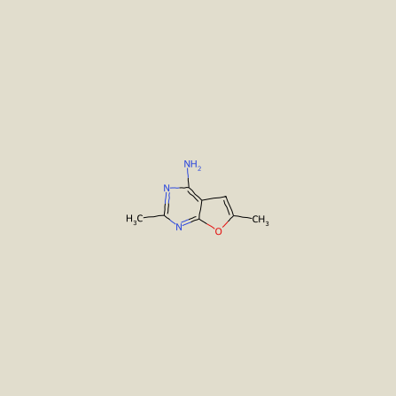 Cc1nc(N)c2cc(C)oc2n1